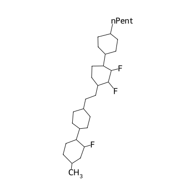 CCCCCC1CCC(C2CCC(CCC3CCC(C4CCC(C)CC4F)CC3)C(F)C2F)CC1